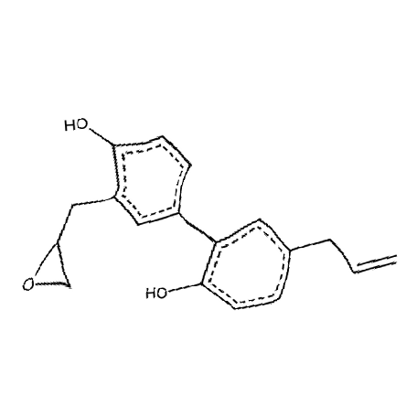 C=CCc1ccc(O)c(-c2ccc(O)c(CC3CO3)c2)c1